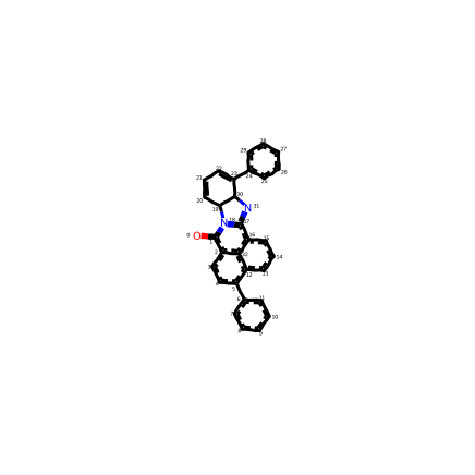 O=c1c2ccc(-c3ccccc3)c3cccc(c4n1C1C=CC=C(c5ccccc5)C1N=4)c32